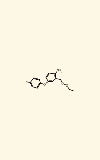 CCOOCc1cc(Oc2ccc(C)cc2)ccc1N